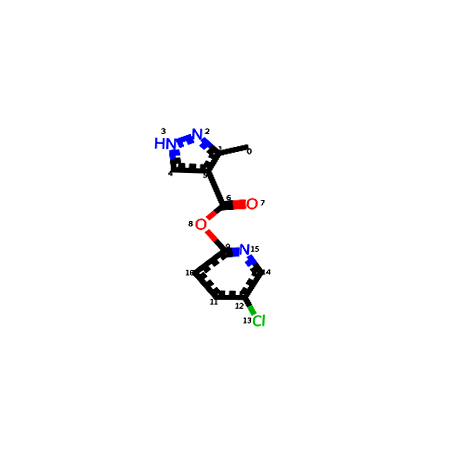 Cc1n[nH]cc1C(=O)Oc1ccc(Cl)cn1